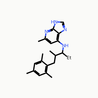 CCC(Nc1cc(C)nc2[nH]cnc12)C(C)Cc1c(C)cc(C)cc1C